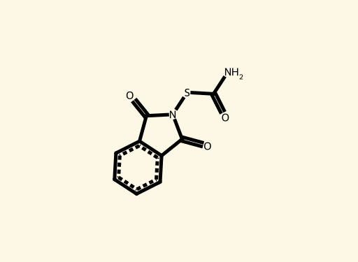 NC(=O)SN1C(=O)c2ccccc2C1=O